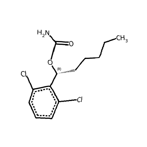 CCCCC[C@@H](OC(N)=O)c1c(Cl)cccc1Cl